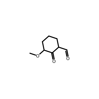 COC1CCCC(C=O)C1=O